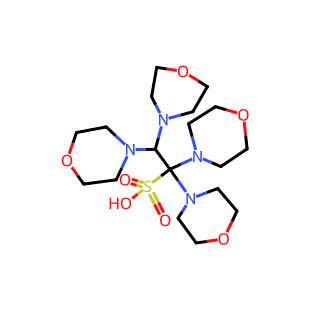 O=S(=O)(O)C(C(N1CCOCC1)N1CCOCC1)(N1CCOCC1)N1CCOCC1